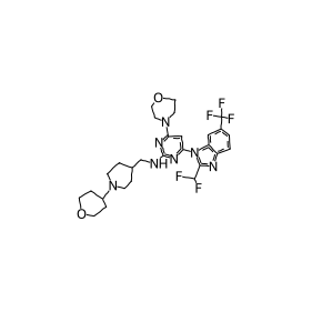 FC(F)c1nc2ccc(C(F)(F)F)cc2n1-c1cc(N2CCOCC2)nc(NCC2CCN(C3CCOCC3)CC2)n1